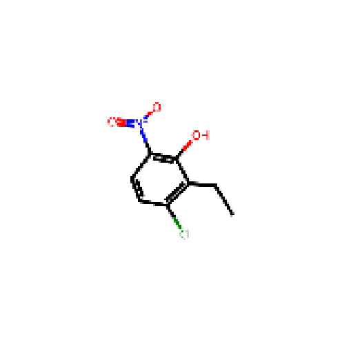 CCc1c(Cl)ccc([N+](=O)[O-])c1O